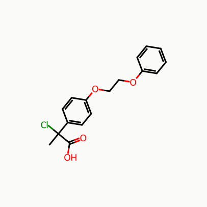 CC(Cl)(C(=O)O)c1ccc(OCCOc2ccccc2)cc1